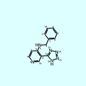 c1ccc(CNc2ccncc2-c2nnn[nH]2)cc1